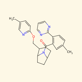 Cc1ccc(OCC2CCC3CCC2N3C(=O)c2cc(C)ccc2-c2ncccn2)nc1